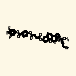 CC(C)CCCC(C)[C@H]1CCC2C3CC=C4C[C@@H](OC(=O)CCC(=O)Oc5ccc(C(=O)Oc6cc(F)c(F)c(F)c6)cc5)CC[C@]4(C)C3CC[C@@]21C